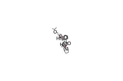 COc1cccc(C(=O)NC2CC3CCC(C2)N3c2ccc(C(=O)NCCCOC(C)C)cn2)c1C